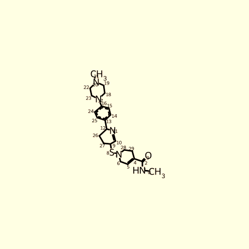 CNC(=O)C1=CCN(SC2C=NC(c3ccc(N4CCN(C)CC4)cc3)CC2)CC1